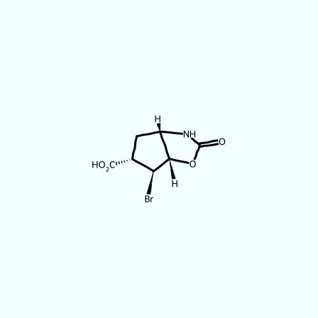 O=C1N[C@H]2C[C@@H](C(=O)O)[C@H](Br)[C@H]2O1